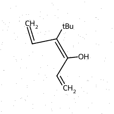 C=C/C(O)=C(\C=C)C(C)(C)C